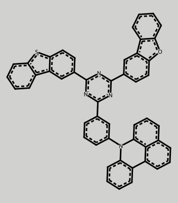 c1cc(-c2nc(-c3ccc4oc5ccccc5c4c3)nc(-c3ccc4sc5ccccc5c4c3)n2)cc(N2c3ccccc3-c3cccc4cccc2c34)c1